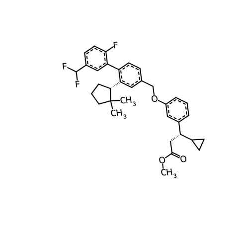 COC(=O)C[C@H](c1cccc(OCc2ccc(-c3cc(C(F)F)ccc3F)c([C@H]3CCCC3(C)C)c2)c1)C1CC1